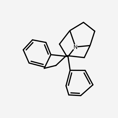 CCC1CC2CCC(C1)N2C(c1ccccc1)c1ccccc1